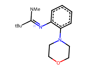 CN/C(=N\c1ccccc1N1CCOCC1)C(C)(C)C